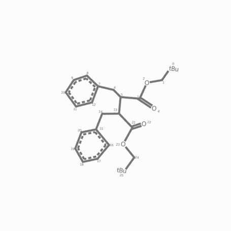 CC(C)(C)COC(=O)C(Cc1ccccc1)C(Cc1ccccc1)C(=O)OCC(C)(C)C